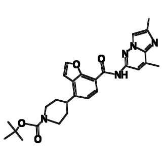 Cc1cn2nc(NC(=O)c3ccc(C4CCN(C(=O)OC(C)(C)C)CC4)c4ccoc34)cc(C)c2n1